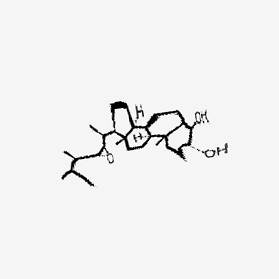 CC(C)[C@@H](C)[C@H]1O[C@@H]1[C@@H](C)[C@H]1CC[C@H]2C3=CC=C4[C@@H](O)[C@H](O)CC[C@]4(C)[C@H]3CC[C@]12C